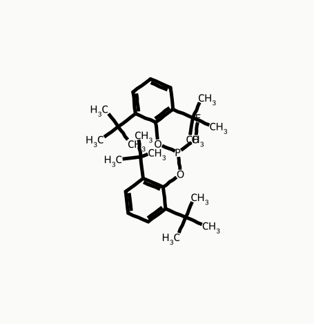 CC(C)(C)c1cccc(C(C)(C)C)c1OP(OF)Oc1c(C(C)(C)C)cccc1C(C)(C)C